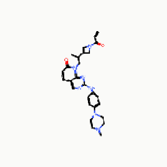 C=CC(=O)N1CC(C(C)Cn2c(=O)ccc3cnc(Nc4ccc(N5CCN(C)CC5)cc4)nc32)C1